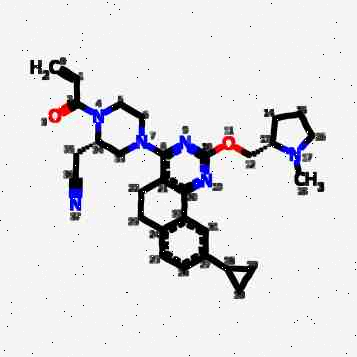 C=CC(=O)N1CCN(c2nc(OC[C@@H]3CCCN3C)nc3c2CCc2ccc(C4CC4)cc2-3)C[C@@H]1CC#N